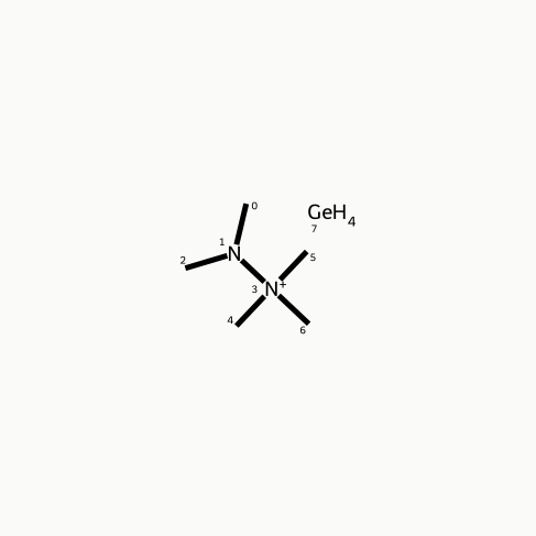 CN(C)[N+](C)(C)C.[GeH4]